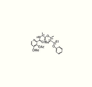 CCCC[C@@H]([C@H](C)OC(=O)[C@H](C)NC(=O)c1nccc(OC)c1OC(C)=O)[C@@H](CC)Oc1ccccc1